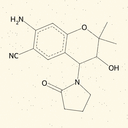 CC1(C)Oc2cc(N)c(C#N)cc2C(N2CCCC2=O)C1O